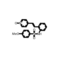 COc1ccc(S(=O)(=O)Nc2ccccc2C=Cc2cc[n+]([O-])cc2)cc1